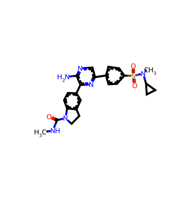 CNC(=O)N1CCc2cc(-c3nc(-c4ccc(S(=O)(=O)N(C)C5CC5)cc4)cnc3N)ccc21